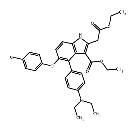 CCOC(=O)Cc1[nH]c2ccc(Oc3ccc(Cl)cc3)c(-c3ccc(N(CC)CC)cc3)c2c1C(=O)OCC